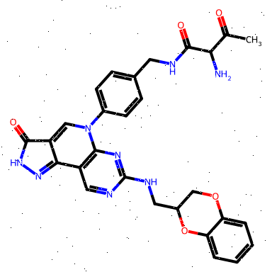 CC(=O)C(N)C(=O)NCc1ccc(-n2cc3c(=O)[nH]nc-3c3cnc(NCC4COc5ccccc5O4)nc32)cc1